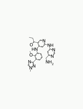 CCC(=O)c1cnc(Nc2cc(CN)ncn2)cc1Nc1cccc(-c2ncn(C)n2)c1OC